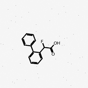 O=C(O)C(F)c1ccccc1-c1ccccc1